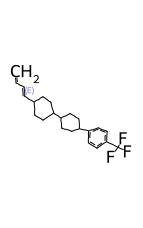 C=C/C=C/C1CCC(C2CCC(c3ccc(C(F)(F)F)cc3)CC2)CC1